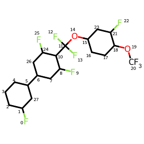 FC1CCCC(C2CC(F)C(C(F)(F)OC3CCC(OC(F)(F)F)C(F)C3)C(F)C2)C1